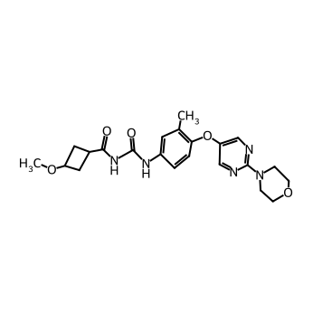 COC1CC(C(=O)NC(=O)Nc2ccc(Oc3cnc(N4CCOCC4)nc3)c(C)c2)C1